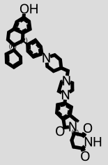 O=C1CC[C@H](N2Cc3cc(N4CCN(CC5CCN(c6ccc([C@@H]7c8ccc(O)cc8CC[C@@H]7C7C=CC=CC7)cc6)CC5)CC4)ccc3C2=O)C(=O)N1